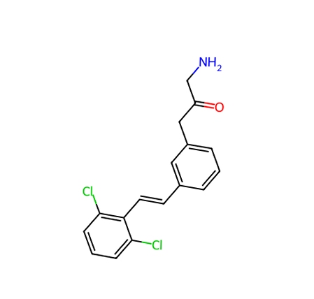 NCC(=O)Cc1cccc(C=Cc2c(Cl)cccc2Cl)c1